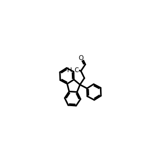 CC(C=O)CC1(c2ccccc2)c2ccccc2-c2ccccc21